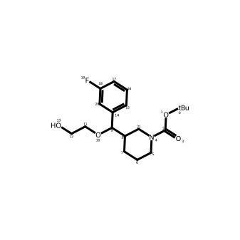 CC(C)(C)OC(=O)N1CCCC(C(OCCO)c2cccc(F)c2)C1